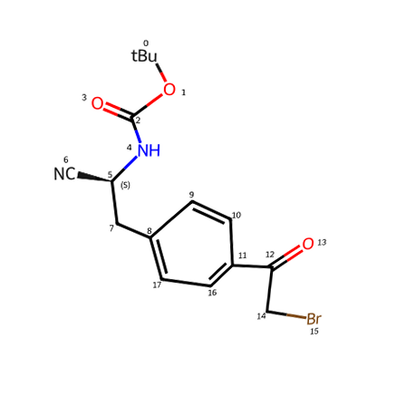 CC(C)(C)OC(=O)N[C@H](C#N)Cc1ccc(C(=O)CBr)cc1